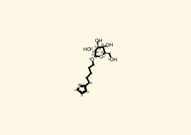 OC[C@H]1O[C@H](OCCCCCc2cccs2)[C@H](O)[C@@H](O)[C@H]1O